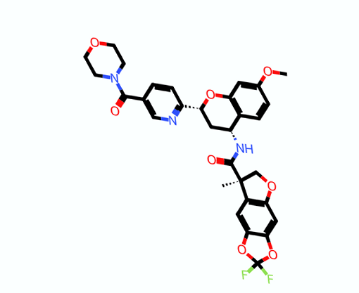 COc1ccc2c(c1)O[C@@H](c1ccc(C(=O)N3CCOCC3)cn1)C[C@H]2NC(=O)[C@@]1(C)COc2cc3c(cc21)OC(F)(F)O3